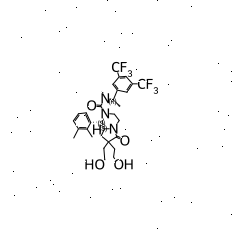 Cc1cccc([C@H]2[C@@H]3CC(CCO)(CCO)C(=O)N3CCN2C(=O)N(C)[C@H](C)c2cc(C(F)(F)F)cc(C(F)(F)F)c2)c1C